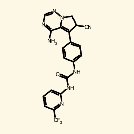 N#CC1CN2N=CN=C(N)C2=C1c1ccc(NC(=O)Nc2cccc(C(F)(F)F)n2)cc1